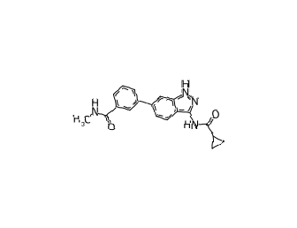 CNC(=O)c1cccc(-c2ccc3c(NC(=O)C4CC4)n[nH]c3c2)c1